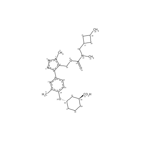 Cc1nc(-c2nnn(C)c2COC(=O)N(C)CC2CC(C)C2)ccc1O[C@H]1CCC[C@H](C(=O)O)C1